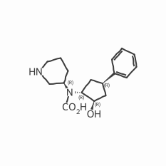 O=C(O)N([C@@H]1CCCNC1)[C@@H]1C[C@@H](c2ccccc2)C[C@H]1O